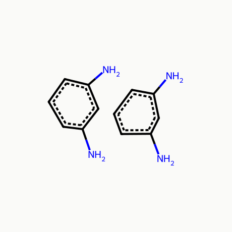 Nc1cccc(N)c1.Nc1cccc(N)c1